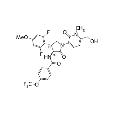 COc1cc(F)c([C@@H]2CN(c3ccc(CO)n(C)c3=O)C(=O)[C@H]2NC(=O)c2ccc(OC(F)(F)F)cc2)c(F)c1